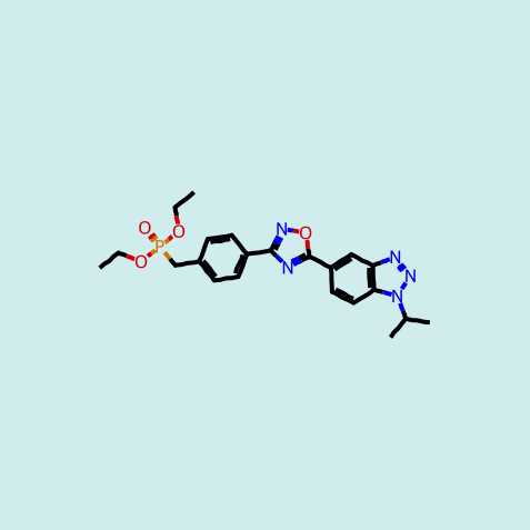 CCOP(=O)(Cc1ccc(-c2noc(-c3ccc4c(c3)nnn4C(C)C)n2)cc1)OCC